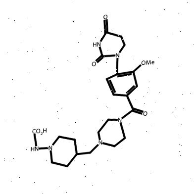 COc1cc(C(=O)N2CCN(CC3CCN(NC(=O)O)CC3)CC2)ccc1N1CCC(=O)NC1=O